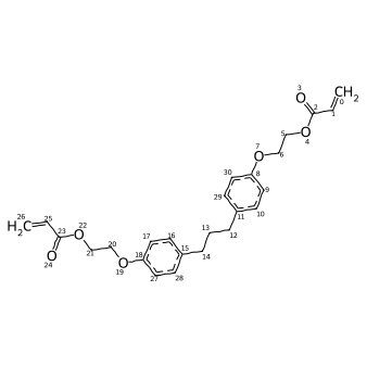 C=CC(=O)OCCOc1ccc(CCCc2ccc(OCCOC(=O)C=C)cc2)cc1